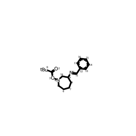 CC(C)(C)C(=O)ON1CCCCC(N=Cc2ccccc2)C1